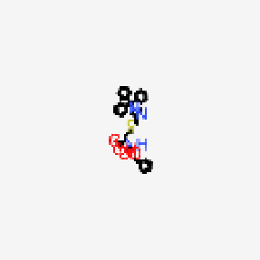 O=C(NC(CCSCc1cn(C(c2ccccc2)(c2ccccc2)c2ccccc2)cn1)C(=O)O)OCc1ccccc1